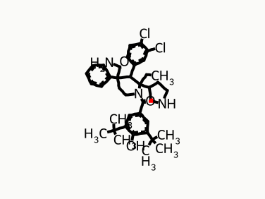 CCC1(C2CCNC2)C(c2ccc(Cl)c(Cl)c2)C(C(N)=O)(c2ccccc2)CCN1C(=O)c1cc(C(C)(C)C)c(O)c(C(C)(C)C)c1